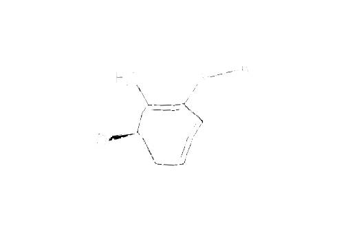 CC1=C(SC(C)C)C=CC[C@H]1Cl